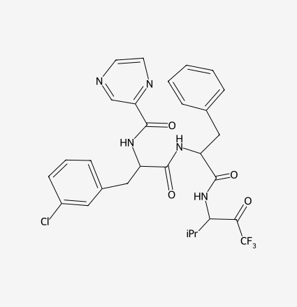 CC(C)C(NC(=O)C(Cc1ccccc1)NC(=O)C(Cc1cccc(Cl)c1)NC(=O)c1cnccn1)C(=O)C(F)(F)F